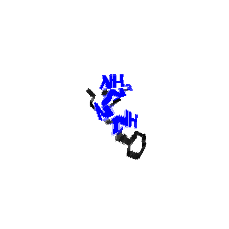 C=CCN(CNCc1ccccc1)CN(C)CN